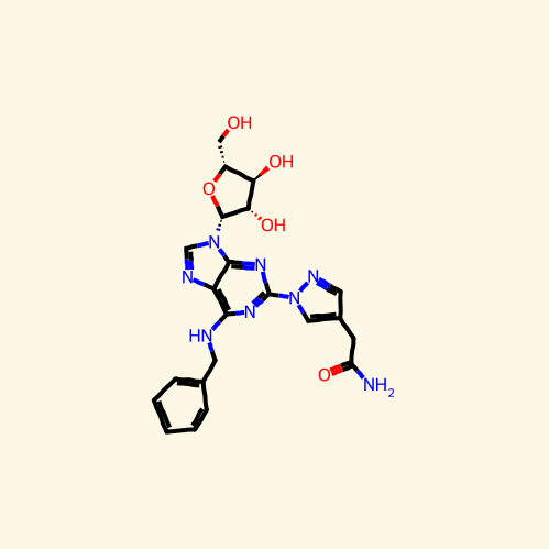 NC(=O)Cc1cnn(-c2nc(NCc3ccccc3)c3ncn([C@@H]4O[C@H](CO)[C@@H](O)[C@@H]4O)c3n2)c1